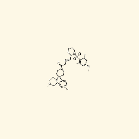 COc1cc(C)c(S(=O)(=O)N2CCCCC2COCC(=O)N2CCC(c3ccc(F)cc3)(N3CCN(C)CC3)CC2)c(C)c1